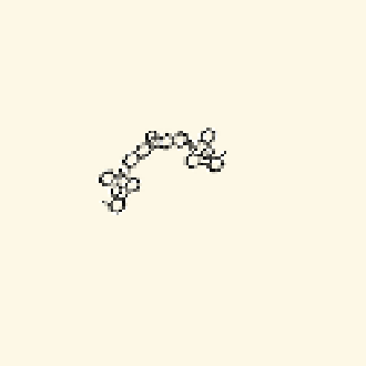 Cc1cccc2c1oc1c(N(c3ccccc3)c3ccc4cc5oc6cc7ccc(N(c8ccccc8)c8cccc9c8oc8c(C)cccc89)cc7cc6c5cc4c3)cccc12